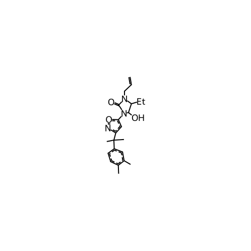 C=CCN1C(=O)N(c2cc(C(C)(C)c3ccc(C)c(C)c3)no2)C(O)C1CC